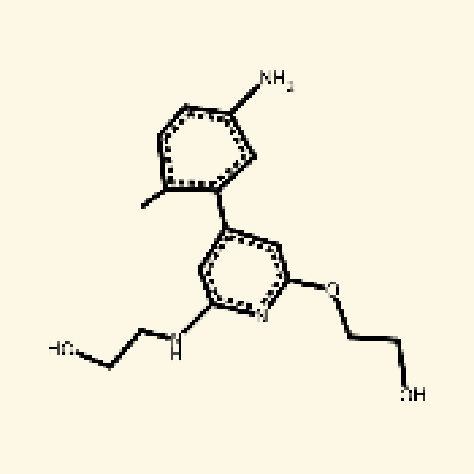 Cc1ccc(N)cc1-c1cc(NCCO)nc(OCCO)c1